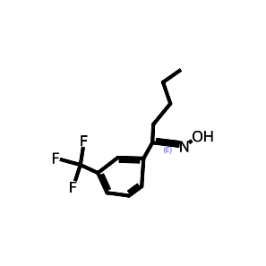 CCCC/C(=N\O)c1cccc(C(F)(F)F)c1